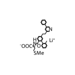 CSCC[C@H](NC(=O)c1ccc(CCc2cncc(-c3ccccc3)c2)cc1-c1ccccc1C)C(=O)[O-].[Li+]